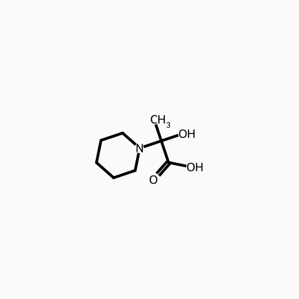 CC(O)(C(=O)O)N1CCCCC1